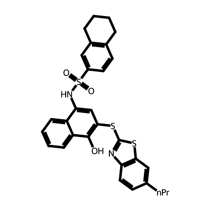 CCCc1ccc2nc(Sc3cc(NS(=O)(=O)c4ccc5c(c4)CCCC5)c4ccccc4c3O)sc2c1